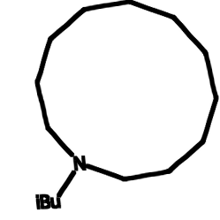 CCC(C)N1CCCCCCCCCCC1